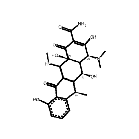 CNC1C2C(=O)c3c(O)cccc3[C@H](C)C2[C@H](O)C2[C@H](N(C)C)C(O)=C(C(N)=O)C(=O)[C@@]12O